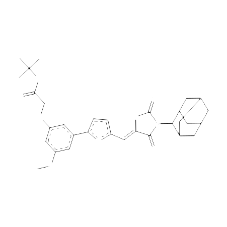 COc1cc(OCC(=O)OC(C)(C)C)cc(-c2ccc(/C=C3\SC(=S)N(C4C5CC6CC(C5)CC4C6)C3=O)o2)c1